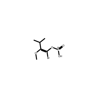 COC(=C(Br)O[PH](=O)O)C(C)C